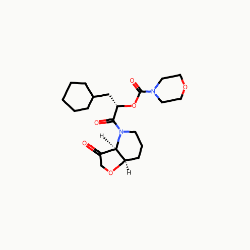 O=C1CO[C@@H]2CCCN(C(=O)[C@H](CC3CCCCC3)OC(=O)N3CCOCC3)[C@H]12